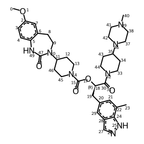 COc1ccc2c(c1)CCN(C1CCN(C(=O)O[C@H](Cc3cc(C)c4[nH]ncc4c3)C(=O)N3CCC(N4CCN(C)CC4)CC3)CC1)C(=O)N2